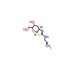 C=CCNC1=N[C@@H]2C[C@H](O)C(CO)O[C@@H]2S1